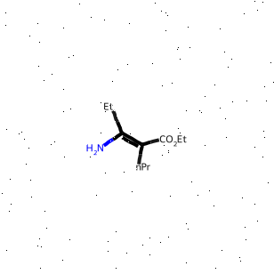 CCCC(C(=O)OCC)=C(N)CC